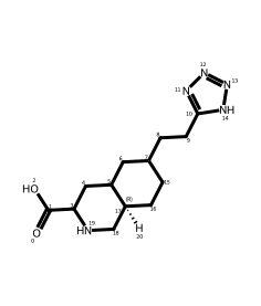 O=C(O)C1CC2CC(CCc3nnn[nH]3)CC[C@H]2CN1